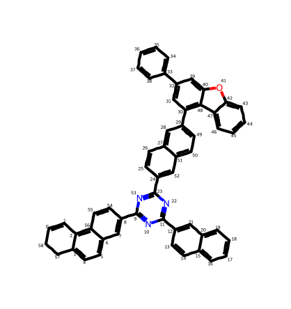 C1=Cc2c(ccc3cc(-c4nc(-c5ccc6ccccc6c5)nc(-c5ccc6cc(-c7cc(-c8ccccc8)cc8oc9ccccc9c78)ccc6c5)n4)ccc23)CC1